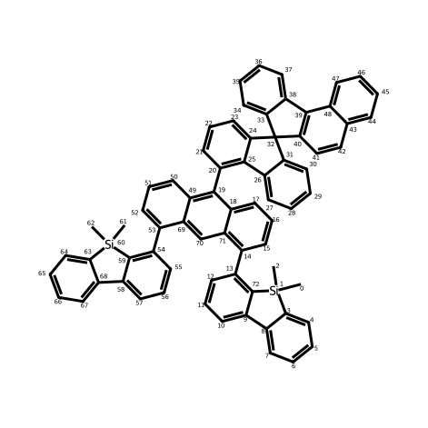 C[Si]1(C)c2ccccc2-c2cccc(-c3cccc4c(-c5cccc6c5-c5ccccc5C65c6ccccc6-c6c5ccc5ccccc65)c5cccc(-c6cccc7c6[Si](C)(C)c6ccccc6-7)c5cc34)c21